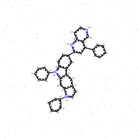 c1ccc(-c2cc(-c3ccc4c(c3)c3cc5ccn(-c6ccccc6)c5cc3n4-c3ccccc3)nc3ccncc23)cc1